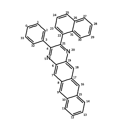 c1ccc(-c2nc3cc4cc5ccccc5cc4cc3nc2-c2cccc3ccccc23)cc1